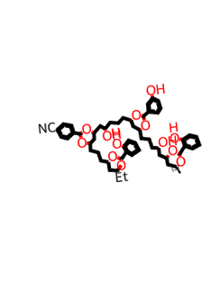 CCC1CC(CCCC2CC(CC(O)CCCC3CC(CCCC(O)CC4C[C@H](C)OC(c5ccccc5O)O4)OC(c4cccc(O)c4)O3)OC(c3ccc(C#N)cc3)O2)OC(c2ccccc2O)O1